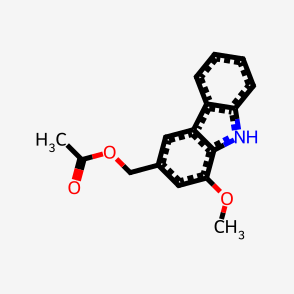 COc1cc(COC(C)=O)cc2c1[nH]c1ccccc12